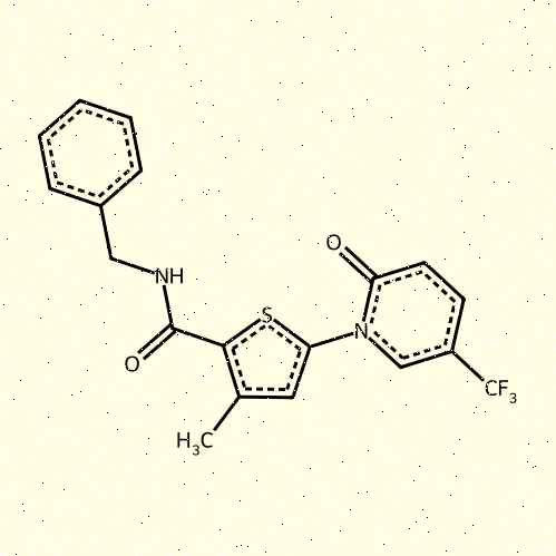 Cc1cc(-n2cc(C(F)(F)F)ccc2=O)sc1C(=O)NCc1ccccc1